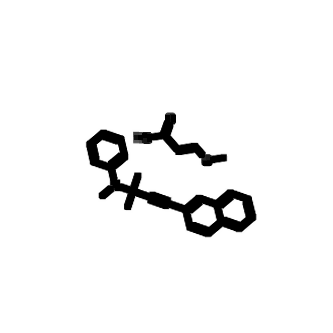 CN(c1ccccc1)C(C)(C)C#Cc1ccc2ccccc2c1.COC=CC(=O)O